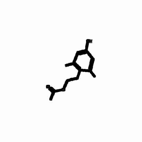 CC(=O)OCCc1c(C)cc(O)cc1C